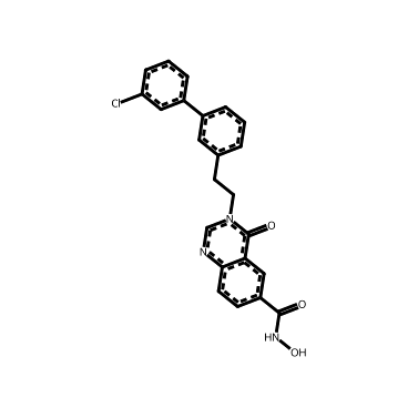 O=C(NO)c1ccc2ncn(CCc3cccc(-c4cccc(Cl)c4)c3)c(=O)c2c1